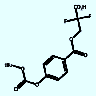 CC(C)(C)OC(=O)Oc1ccc(C(=O)OCC(F)(F)C(=O)O)cc1